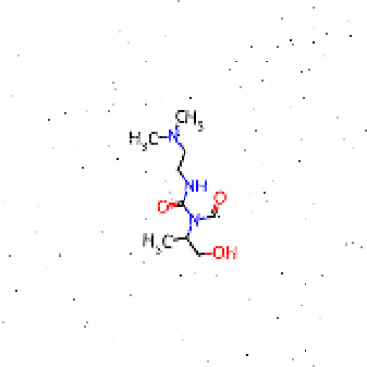 CC(CO)N([C]=O)C(=O)NCCN(C)C